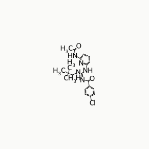 CC(=O)Nc1cccc(N/C(=N\C(=O)c2ccc(Cl)cc2)NCC(C)(C)C)n1